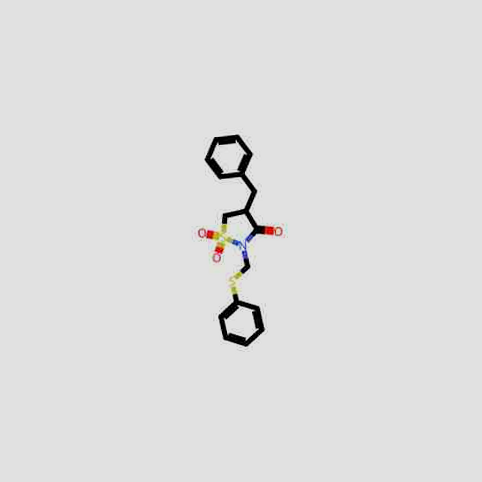 O=C1C(Cc2ccccc2)CS(=O)(=O)N1CSc1ccccc1